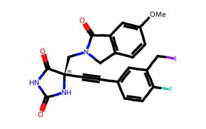 COc1ccc2c(c1)C(=O)N(C[C@@]1(C#Cc3ccc(F)c(CI)c3)NC(=O)NC1=O)C2